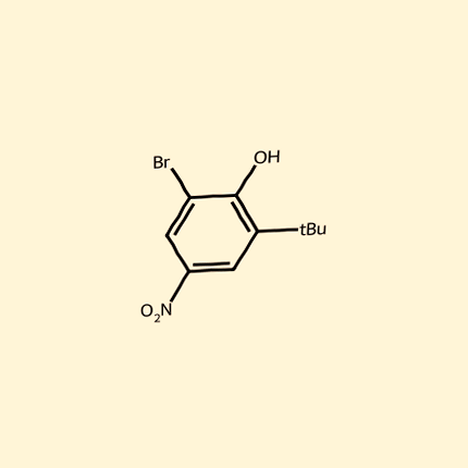 CC(C)(C)c1cc([N+](=O)[O-])cc(Br)c1O